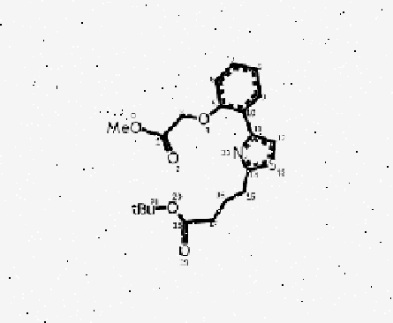 COC(=O)COc1ccccc1-c1csc(CCCC(=O)OC(C)(C)C)n1